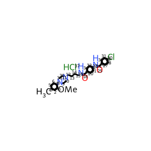 COc1cc(C)ccc1N1CCN(CCCCNC(=O)c2ccc(NC(=O)c3ccc(Cl)cc3)cc2)CC1.Cl